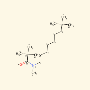 CN(CCCCCCCC(C)(C)C)C(=O)C(C)(C)C